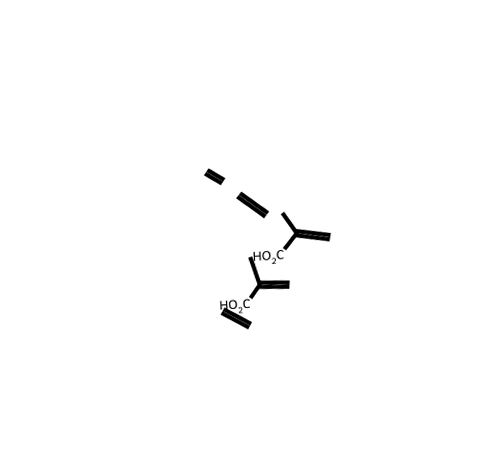 C=C.C=C.C=C.C=C(C)C(=O)O.C=C(C)C(=O)O